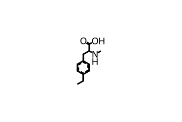 CCc1ccc(CC(NC)C(=O)O)cc1